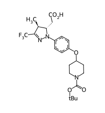 C[C@@H]1C(C(F)(F)F)=NN(c2ccc(OC3CCN(C(=O)OC(C)(C)C)CC3)cc2)[C@H]1CC(=O)O